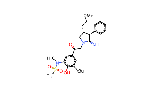 COCC[C@H]1CN(CC(=O)c2cc(N(C)S(C)(=O)=O)c(O)c(C(C)(C)C)c2)C(=N)[C@@H]1c1ccccc1